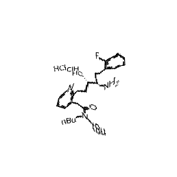 CCCCN(C(=O)c1cccnc1C[C@H](O)[C@H](N)Cc1ccccc1F)C(C)(C)C.Cl.Cl